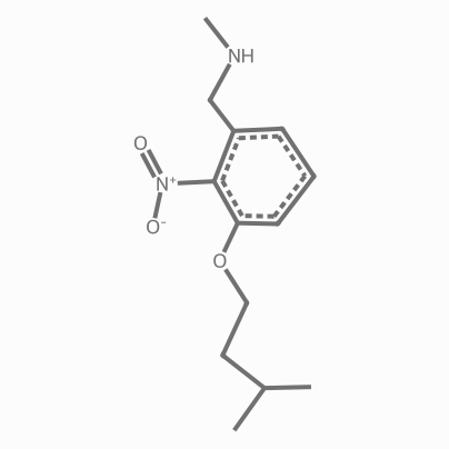 CNCc1cccc(OCCC(C)C)c1[N+](=O)[O-]